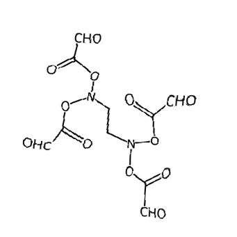 O=CC(=O)ON(CCN(OC(=O)C=O)OC(=O)C=O)OC(=O)C=O